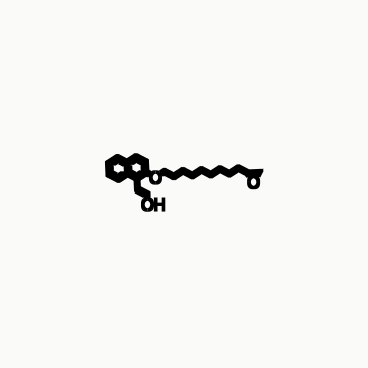 O/C=C/c1c(OCCCCCCCCCC2CO2)ccc2ccccc12